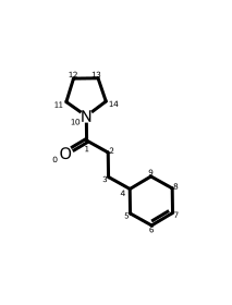 O=C(CCC1CC=CCC1)N1CCCC1